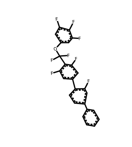 Fc1cc(-c2ccccc2)ccc1-c1cc(F)c(C(F)(F)Oc2cc(F)c(F)c(F)c2)c(F)c1